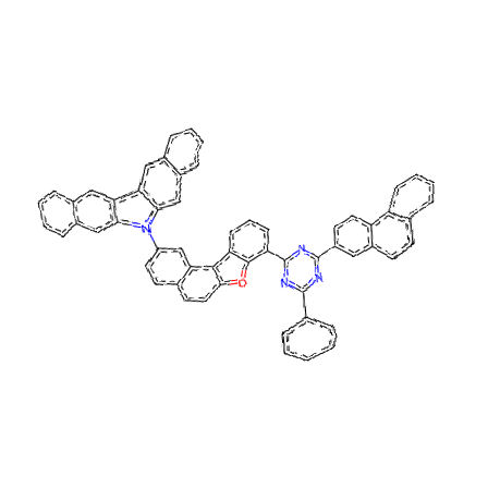 c1ccc(-c2nc(-c3ccc4c(ccc5ccccc54)c3)nc(-c3cccc4c3oc3ccc5ccc(-n6c7cc8ccccc8cc7c7cc8ccccc8cc76)cc5c34)n2)cc1